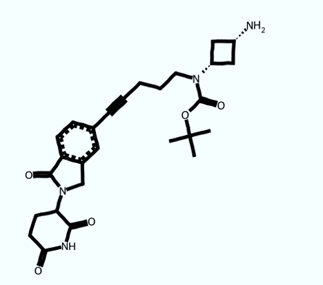 CC(C)(C)OC(=O)N(CCCC#Cc1ccc2c(c1)CN(C1CCC(=O)NC1=O)C2=O)[C@H]1C[C@@H](N)C1